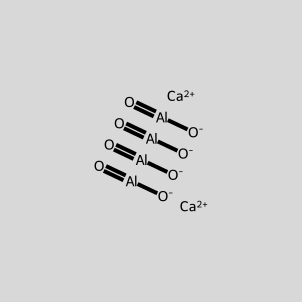 [Ca+2].[Ca+2].[O]=[Al][O-].[O]=[Al][O-].[O]=[Al][O-].[O]=[Al][O-]